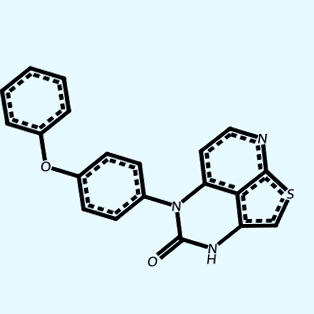 O=C1Nc2csc3nccc(c23)N1c1ccc(Oc2ccccc2)cc1